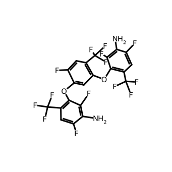 Nc1c(F)cc(C(F)(F)F)c(Oc2cc(Oc3c(C(F)(F)F)cc(F)c(N)c3F)c(C(F)(F)F)cc2F)c1F